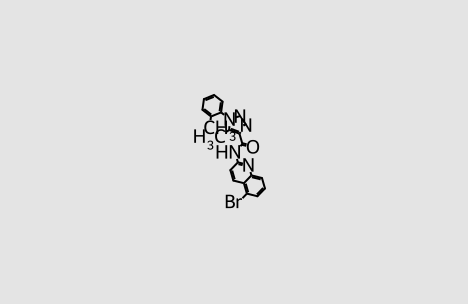 Cc1ccccc1-n1nnc(C(=O)Nc2ccc3c(Br)cccc3n2)c1C